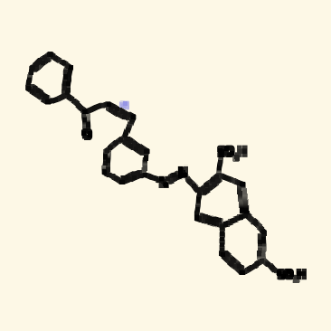 O=C(/C=C\c1cccc(N=Nc2cc3ccc(S(=O)(=O)O)cc3cc2S(=O)(=O)O)c1)c1ccccc1